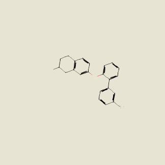 CC(C)c1cccc(-c2ccccc2Oc2ccc3c(c2)CC(C(=O)O)CC3)c1